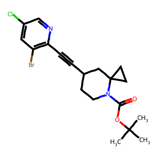 CC(C)(C)OC(=O)N1CCC(C#Cc2ncc(Cl)cc2Br)CC12CC2